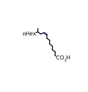 CCCCCCC(C)C/C=C\CCCCCCCC(=O)O